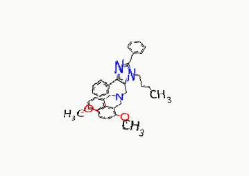 CCCCn1c(-c2ccccc2)nc(-c2ccccc2)c1CN(Cc1ccccc1)Cc1cc(OC)ccc1OC